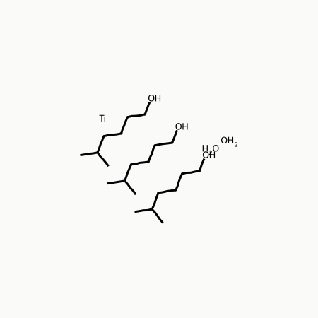 CC(C)CCCCO.CC(C)CCCCO.CC(C)CCCCO.O.O.[Ti]